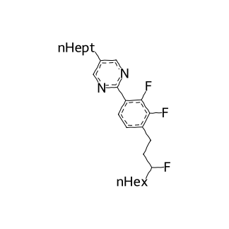 CCCCCCCc1cnc(-c2ccc(CCC(F)CCCCCC)c(F)c2F)nc1